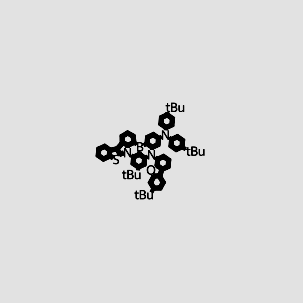 CC(C)(C)c1ccc(N(c2ccc(C(C)(C)C)cc2)c2ccc3c(c2)N(c2cccc4c2oc2cc(C(C)(C)C)ccc24)c2cc(C(C)(C)C)cc4c2B3c2cccc3c5c6ccccc6sc5n-4c23)cc1